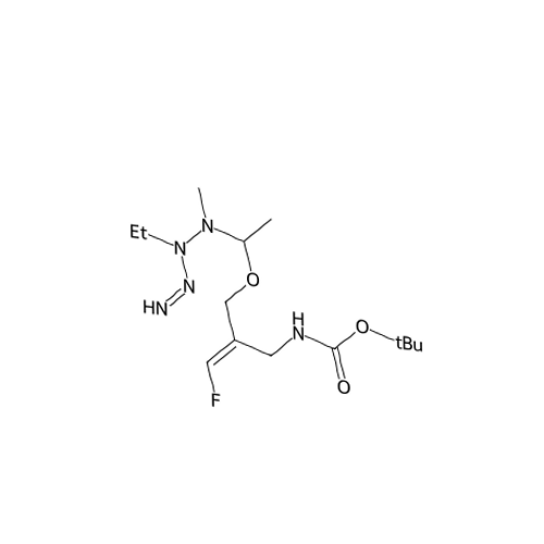 CCN(N=N)N(C)C(C)OC/C(=C/F)CNC(=O)OC(C)(C)C